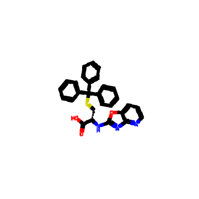 O=C(O)[C@H](CSC(c1ccccc1)(c1ccccc1)c1ccccc1)Nc1nc2ncccc2o1